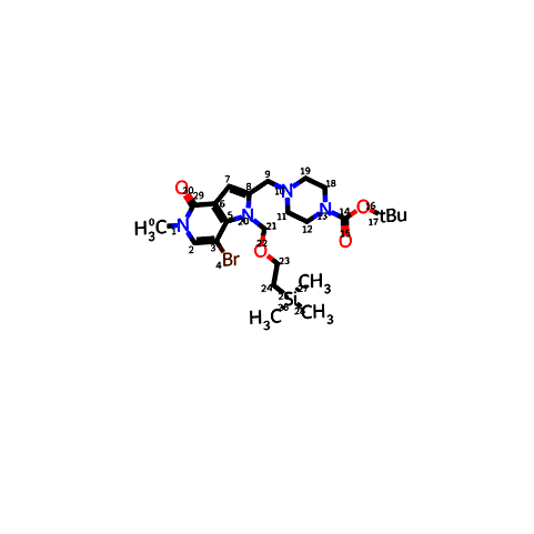 Cn1cc(Br)c2c(cc(CN3CCN(C(=O)OC(C)(C)C)CC3)n2COCC[Si](C)(C)C)c1=O